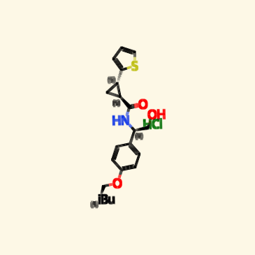 CC[C@H](C)COc1ccc([C@H](CO)NC(=O)[C@H]2C[C@@H]2c2cccs2)cc1.Cl